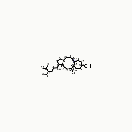 CC[C@H](CCCC1CCC2CC/C=C3/CC[C@@H](O)CC[C@]3(C)C(C)CC[C@@]21C)C(C)C